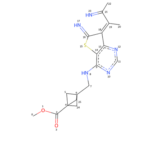 COC(=O)C12CC(CNc3ncnc4c3SC(=N)/C4=C(/C)C(C)=N)(C1)C2